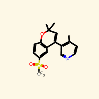 Cc1ccncc1C1=CC(C)(C)Oc2ccc(S(=O)(=O)C(F)(F)F)cc21